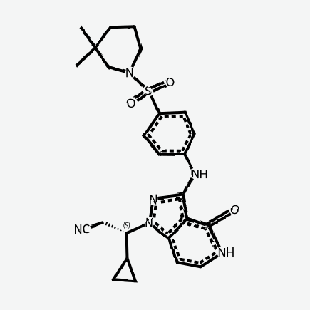 CC1(C)CCCN(S(=O)(=O)c2ccc(Nc3nn([C@@H](CC#N)C4CC4)c4cc[nH]c(=O)c34)cc2)C1